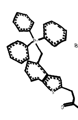 O=C(O)Cc1cc2c(C[P+](c3ccccc3)(c3ccccc3)c3ccccc3)cccc2s1.[Br-]